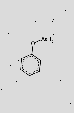 [AsH2]Oc1ccccc1